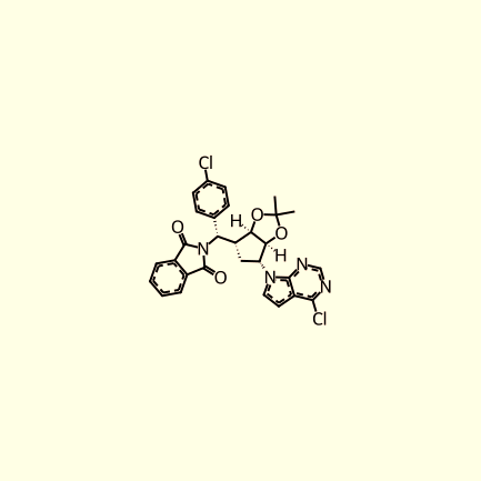 CC1(C)O[C@@H]2[C@@H]([C@@H](c3ccc(Cl)cc3)N3C(=O)c4ccccc4C3=O)C[C@@H](n3ccc4c(Cl)ncnc43)[C@@H]2O1